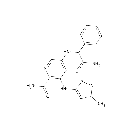 Cc1cc(Nc2cc(NC(C(N)=O)c3ccccc3)cnc2C(N)=O)sn1